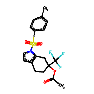 CC(=O)OC1(C(F)(F)F)CCc2ccn(S(=O)(=O)c3ccc(C)cc3)c2C1